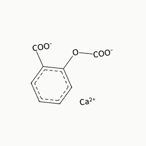 O=C([O-])Oc1ccccc1C(=O)[O-].[Ca+2]